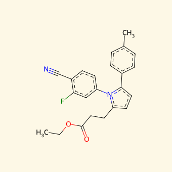 CCOC(=O)CCc1ccc(-c2ccc(C)cc2)n1-c1ccc(C#N)c(F)c1